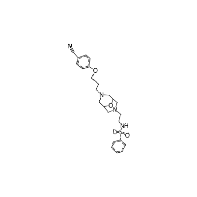 N#Cc1ccc(OCCCN2CC3CN(CCNS(=O)(=O)c4ccccc4)CC(C2)O3)cc1